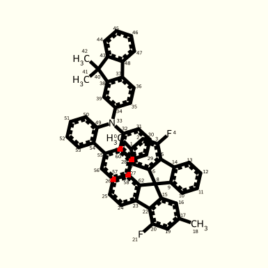 Cc1cc(F)c2c(c1)C1(c3ccccc3-2)c2cc(C)cc(F)c2-c2cccc(-c3cccc(N(c4ccc5c(c4)C(C)(C)c4ccccc4-5)c4ccccc4-c4ccccc4)c3)c21